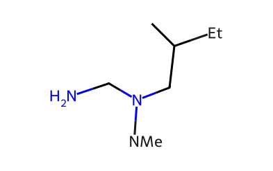 CCC(C)CN(CN)NC